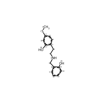 CSc1ccc(CCNCc2ccccc2O)c(O)c1